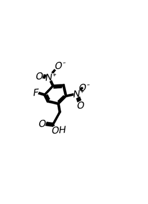 O=C(O)Cc1cc(F)c([N+](=O)[O-])cc1[N+](=O)[O-]